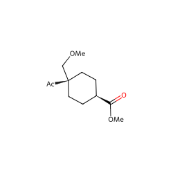 COC[C@]1(C(C)=O)CC[C@@H](C(=O)OC)CC1